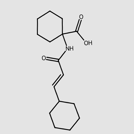 O=C(C=CC1CCCCC1)NC1(C(=O)O)CCCCC1